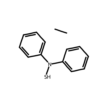 CC.SN(c1ccccc1)c1ccccc1